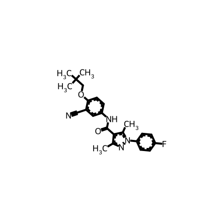 Cc1nn(-c2ccc(F)cc2)c(C)c1C(=O)Nc1ccc(OCC(C)(C)C)c(C#N)c1